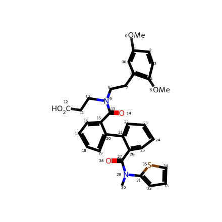 COc1ccc(OC)c(CCN(CCC(=O)O)C(=O)c2ccccc2-c2ccccc2C(=O)N(C)c2cccs2)c1